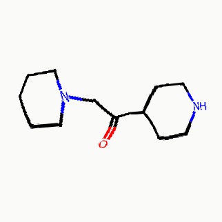 O=C(CN1CCCCC1)C1CCNCC1